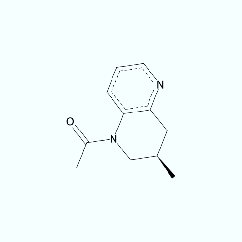 CC(=O)N1C[C@H](C)Cc2ncccc21